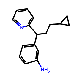 Nc1cccc(C(CCC2CC2)c2ccccn2)c1